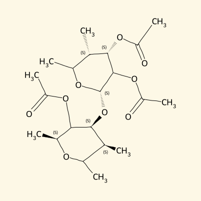 CC(=O)OC1[C@H](O[C@@H]2C(OC(C)=O)[C@H](C)OC(C)[C@@H]2C)OC(C)[C@H](C)[C@@H]1OC(C)=O